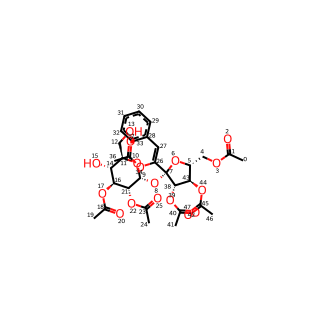 CC(=O)OC[C@H]1O[C@](O[C@H]2O[C@H](CO)[C@@H](O)[C@H](OC(C)=O)[C@H]2OC(C)=O)(C(=Cc2ccccc2)OC(C)=O)[C@@H](OC(C)=O)[C@@H]1OC(C)=O